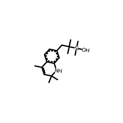 CC1=CC(C)(C)Nc2cc(CC(C)(C)[Si](C)(C)O)ccc21